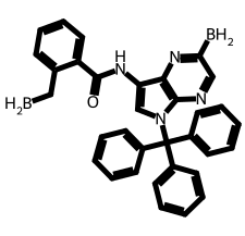 BCc1ccccc1C(=O)Nc1cn(C(c2ccccc2)(c2ccccc2)c2ccccc2)c2ncc(B)nc12